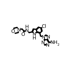 Nc1ncnc2c1ncn2Cc1cc(Cl)cc2cc(CNC(=O)CN3CCOCC3)[nH]c12